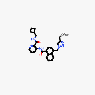 COCc1cn(Cc2ccc(C(=O)Nc3cccnc3C(=O)NCC3CCC3)c3ccccc23)nn1